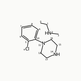 CCNC.Clc1ccccc1N1CCNCC1